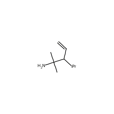 C=CC(C(C)C)C(C)(C)N